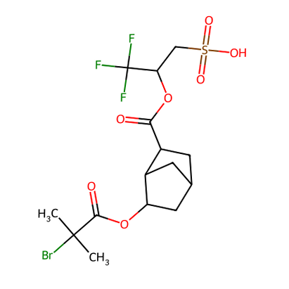 CC(C)(Br)C(=O)OC1CC2CC(C(=O)OC(CS(=O)(=O)O)C(F)(F)F)C1C2